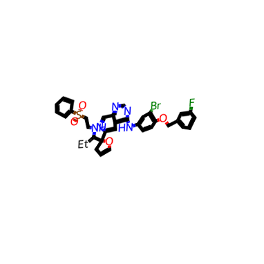 CCC(NCCS(=O)(=O)c1ccccc1)C1(c2cc3c(Nc4ccc(OCc5cccc(F)c5)c(Br)c4)ncnc3cn2)CC=CO1